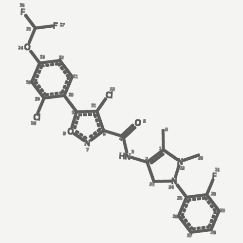 CC1=C(NC(=O)c2noc(-c3ccc(OC(F)F)cc3Cl)c2Cl)CN(c2ccccc2F)N1C